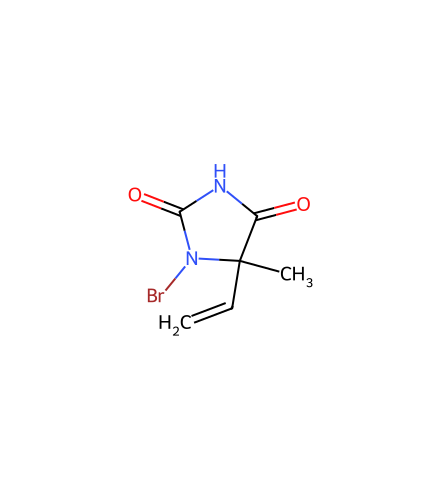 C=CC1(C)C(=O)NC(=O)N1Br